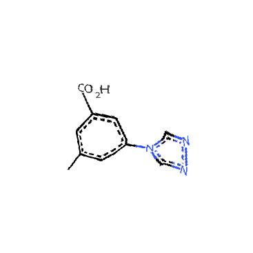 Cc1cc(C(=O)O)cc(-n2cnnc2)c1